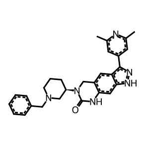 Cc1cc(-c2n[nH]c3cc4c(cc23)CN([C@@H]2CCCN(Cc3ccccc3)C2)C(=O)N4)cc(C)n1